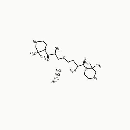 CC1(C)CNCCN1C(=O)C(N)CSSCC(N)C(=O)N1CCNCC1(C)C.Cl.Cl.Cl.Cl